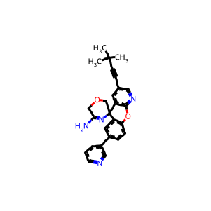 CC(C)(C)C#Cc1cnc2c(c1)C1(COCC(N)=N1)c1cc(-c3cccnc3)ccc1O2